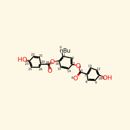 CCCCc1cc(OC(=O)c2ccc(O)cc2)ccc1OC(=O)c1ccc(O)cc1